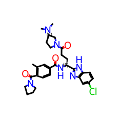 Cc1cc(C(=O)N[C@@H](CCC(=O)N2CC[C@H](N(C)C)C2)c2nc3cc(Cl)ccc3[nH]2)ccc1C(=O)N1CCCC1